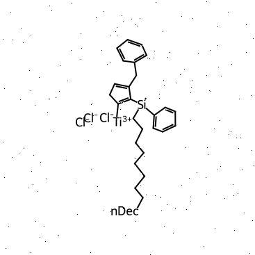 CCCCCCCCCCCCCCCCCC[Si](C)(C1=[C]([Ti+3])CC=C1Cc1ccccc1)c1ccccc1.[Cl-].[Cl-].[Cl-]